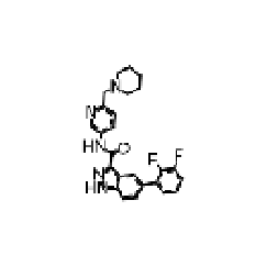 O=C(Nc1ccc(CN2CCCCC2)nc1)c1n[nH]c2ccc(-c3cccc(F)c3F)cc12